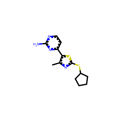 Cc1nc(SC2CCCC2)sc1-c1ccnc(N)n1